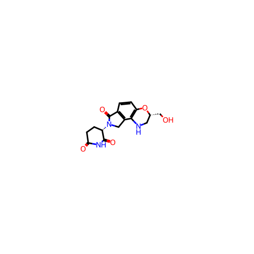 O=C1CC[C@H](N2Cc3c(ccc4c3NC[C@@H](CO)O4)C2=O)C(=O)N1